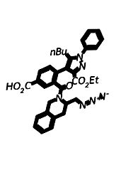 CCCCc1c(-c2ccc(C(=O)O)cc2C(=O)N2Cc3ccccc3CC2CN=[N+]=[N-])c(C(=O)OCC)nn1-c1ccccc1